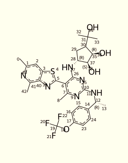 Cc1cc2sc(-c3c(C)nc(N[C@H](C)c4ccc(OC(F)(F)F)cc4)nc3N[C@@H]3CC(C(C)(C)O)[C@@H](O)[C@H]3O)nc2c(C)n1